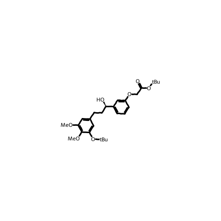 COc1cc(CC[C@@H](O)c2cccc(OCC(=O)OC(C)(C)C)c2)cc(OC(C)(C)C)c1OC